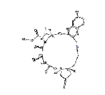 C=C1C[C@H]2CCC/C=C/c3nc4ccc(Cl)cc4nc3O[C@H]3CN(C(=O)[C@H](C(C)(C)C)NC(=O)O[C@@H]2C1)[C@H](C(=O)OC(C)(C)C)[C@@H]3C